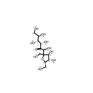 O=C(C(O)C1(CO)O[C@H](CO)[C@@H](O)[C@@H]1O)[C@@H](O)[C@H](O)[C@H](O)CO